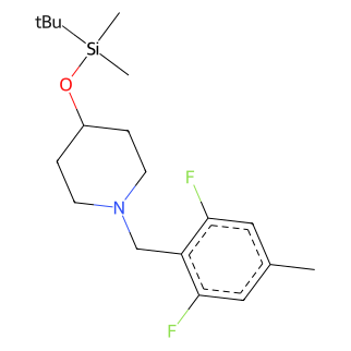 Cc1cc(F)c(CN2CCC(O[Si](C)(C)C(C)(C)C)CC2)c(F)c1